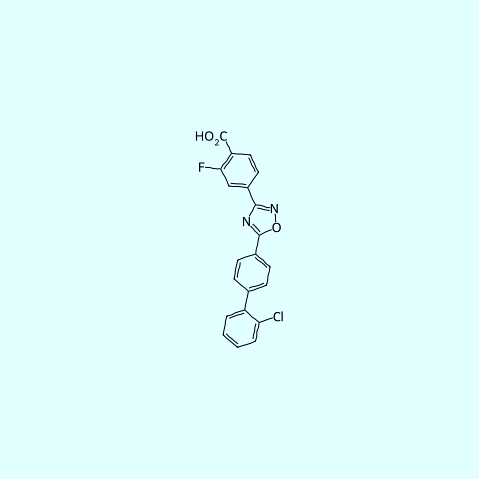 O=C(O)c1ccc(-c2noc(-c3ccc(-c4ccccc4Cl)cc3)n2)cc1F